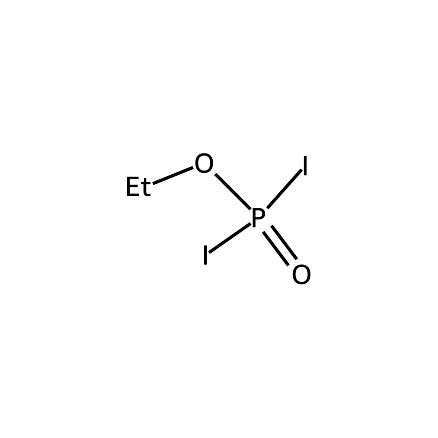 CCOP(=O)(I)I